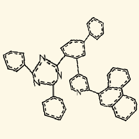 c1ccc(-c2ccc(-c3nc(-c4ccccc4)nc(-c4ccccc4)n3)c(-c3ccnc(-c4cc5ccccc5c5ccccc45)c3)c2)cc1